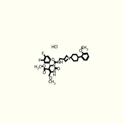 COCC1=C(C(=O)OC)[C@H](c2ccc(F)c(F)c2)N(C(=O)NCC2CN(C3CCC(c4ccccc4OC)CC3)C2)C(=O)N1.Cl